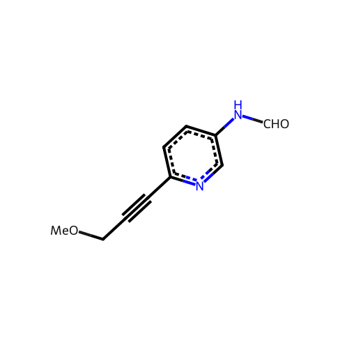 COCC#Cc1ccc(NC=O)cn1